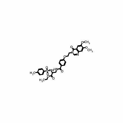 CCOC(=O)C(CNC(=O)c1ccc(OCCn2cnc3cc(OC)c(OC)cc3c2=O)cc1)NS(=O)(=O)c1ccc(C)cc1